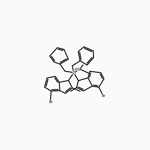 CC1=Cc2c(Br)cccc2[CH]1[Zr]([CH2]c1ccccc1)([CH2]c1ccccc1)([CH]1C(C)=Cc2c(Br)cccc21)[SiH](C)C